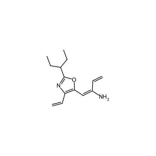 C=C/C(N)=C\c1oc(C(CC)CC)nc1C=C